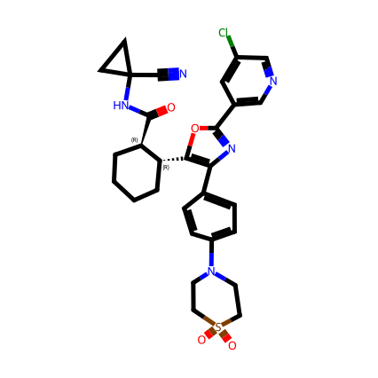 N#CC1(NC(=O)[C@@H]2CCCC[C@H]2c2oc(-c3cncc(Cl)c3)nc2-c2ccc(N3CCS(=O)(=O)CC3)cc2)CC1